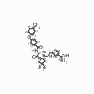 N=C(N)c1csc(CNC(=O)[C@@H]2C[C@](F)(CF)CN2C(=O)CNC(=O)c2ccc(Oc3ccc(C(F)(F)F)cc3)cc2)c1